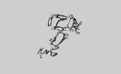 NC(=O)/C=C/c1ccc(-c2cc3c(c(C4CCC5CC6CC4C6C5)c2)OCCO3)cc1